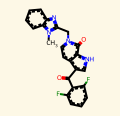 Cn1c(Cn2ccc3c(C(=O)c4c(F)cccc4F)c[nH]c3c2=O)nc2ccccc21